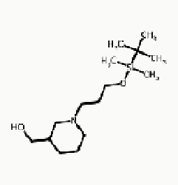 CC(C)(C)[Si](C)(C)OCCCN1CCCC(CO)C1